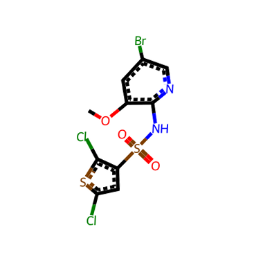 COc1cc(Br)cnc1NS(=O)(=O)c1cc(Cl)sc1Cl